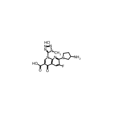 Cl.Cn1nnnc1-n1cc(C(=O)O)c(=O)c2cc(F)c(N3CCC(N)C3)nc21